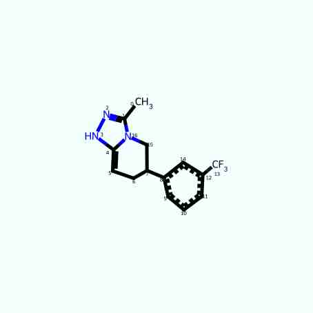 CC1=NNC2=CCC(c3cccc(C(F)(F)F)c3)CN21